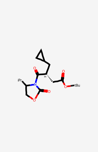 CC(C)C1COC(=O)N1C(=O)[C@@H](CC(=O)OC(C)(C)C)CC1CC1